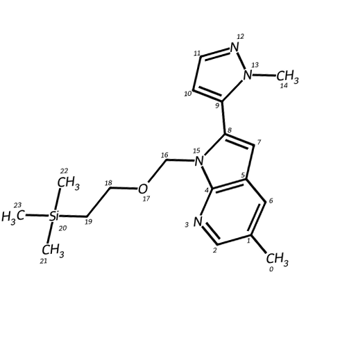 Cc1cnc2c(c1)cc(-c1ccnn1C)n2COCC[Si](C)(C)C